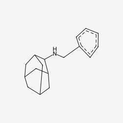 c1ccc(CNC2C3CC4CC(C3)CC2C4)cc1